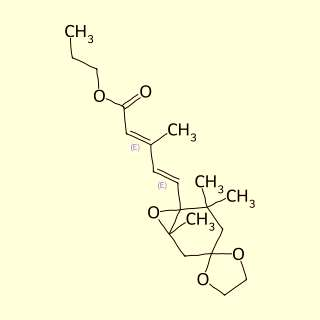 CCCOC(=O)/C=C(C)/C=C/C12OC1(C)CC1(CC2(C)C)OCCO1